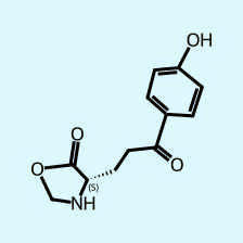 O=C(CC[C@@H]1NCOC1=O)c1ccc(O)cc1